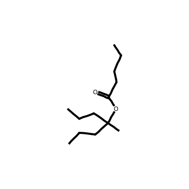 CCCCC(=O)OC(C)(CCC)CCC